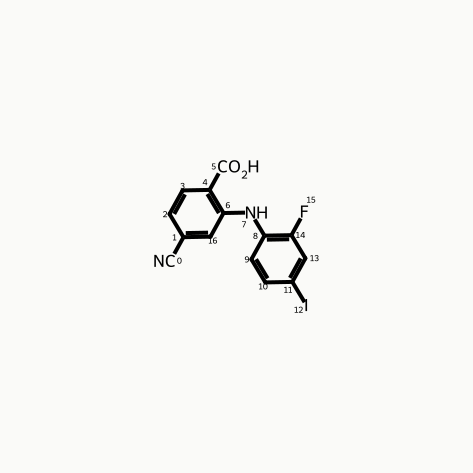 N#Cc1ccc(C(=O)O)c(Nc2ccc(I)cc2F)c1